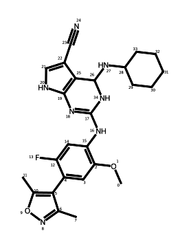 COc1cc(-c2c(C)noc2C)c(F)cc1NC1=Nc2[nH]cc(C#N)c2C(NC2CCCCC2)N1